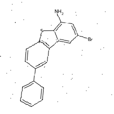 Nc1cc(Br)cc2c1sc1ccc(-c3ccccc3)cc12